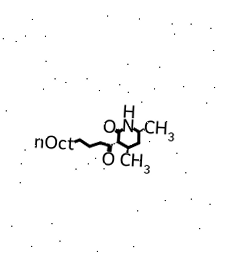 CCCCCCCCCCCC(=O)[C@@H]1C(=O)N[C@@H](C)C[C@H]1C